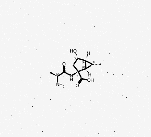 C[C@H]1[C@H]2[C@@H]1[C@](NC(=O)[C@H](C)N)(C(=O)O)C[C@@H]2O